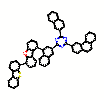 c1ccc2cc(-c3nc(-c4cc(-c5cccc6oc7c(-c8cccc9c8sc8ccccc89)cccc7c56)c5ccccc5c4)nc(-c4ccc5ccc6ccccc6c5c4)n3)ccc2c1